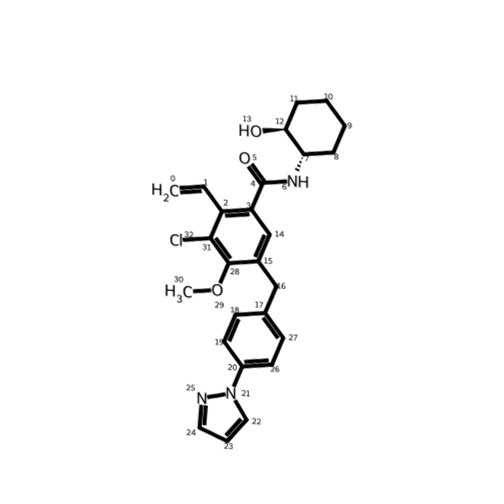 C=Cc1c(C(=O)N[C@H]2CCCC[C@@H]2O)cc(Cc2ccc(-n3cccn3)cc2)c(OC)c1Cl